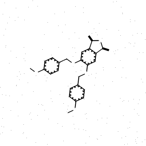 COc1ccc(COc2cc3c(cc2OCc2ccc(OC)cc2)C(=O)OC3=O)cc1